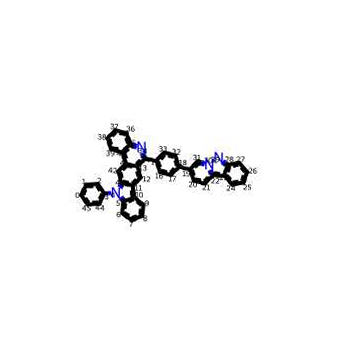 c1ccc(-n2c3ccccc3c3cc4c(-c5ccc(-c6ccc7c8ccccc8nn7c6)cc5)nc5ccccc5c4cc32)cc1